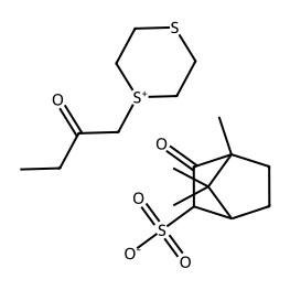 CC12CCC(C(S(=O)(=O)[O-])C1=O)C2(C)C.CCC(=O)C[S+]1CCSCC1